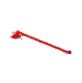 CCCC1O[C@@H]2C[C@H]3[C@@H]4CCC5=CC(=O)C=C[C@]5(C)[C@H]4[C@@H](O)C[C@]3(C)[C@]2(C(=O)COP(=O)(O)OP(=O)(O)OCCOCCOCCOCCOCCOCCOCCOCCOCCOCCOCCOCCOCCOCCOCCOCCOCCOCCOCCOCCOCCOCCOCCOCCNC(=O)COC2C#CCCCCC2)O1